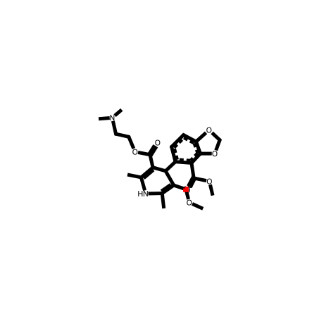 COC(=O)C1=C(C)NC(C)=C(C(=O)OCCN(C)C)C1c1ccc2c(c1C(=O)OC)OCO2